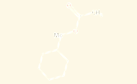 CC(=O)[O][Mo][CH]1CCCCC1